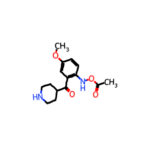 COc1ccc(NOC(C)=O)c(C(=O)C2CCNCC2)c1